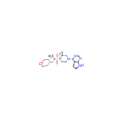 CN(CC1CCOCC1)S(=O)(=O)N1CCN(c2ncnc3[nH]ccc23)CC12CC2